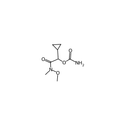 CON(C)C(=O)C(OC(N)=O)C1CC1